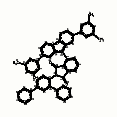 Cc1cc(C)cc(-c2ccc3c4ccc(-c5cc(C)cc(C)c5)cc4n(-c4cccc5c4C(=O)N(c4ccc(-c6ccccc6)cc4-c4ccccc4)C5=O)c3c2)c1